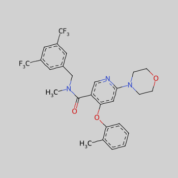 Cc1ccccc1Oc1cc(N2CCOCC2)ncc1C(=O)N(C)Cc1cc(C(F)(F)F)cc(C(F)(F)F)c1